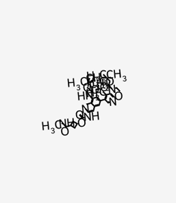 CNC(=O)C1CC(OC(=O)Nc2cc3cc(-c4cnc5c(c4C)N(C(=O)OC(C)(C)C)CCO5)c(F)c(NC(=O)OC(C)(C)C)c3cn2)C1